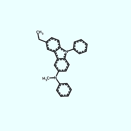 CCc1ccc2c(c1)c1cc(N(C)c3ccccc3)ccc1n2-c1ccccc1